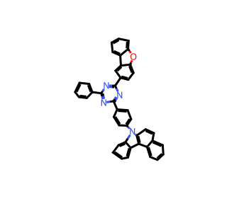 c1ccc(-c2nc(-c3ccc(-n4c5ccccc5c5c6ccccc6ccc54)cc3)nc(-c3ccc4oc5ccccc5c4c3)n2)cc1